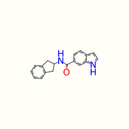 O=C(NC1Cc2ccccc2C1)c1ccc2cc[nH]c2c1